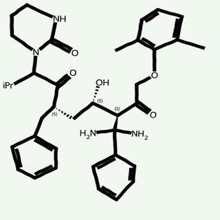 Cc1cccc(C)c1OCC(=O)[C@H]([C@@H](O)C[C@H](Cc1ccccc1)C(=O)C(C(C)C)N1CCCNC1=O)C(N)(N)c1ccccc1